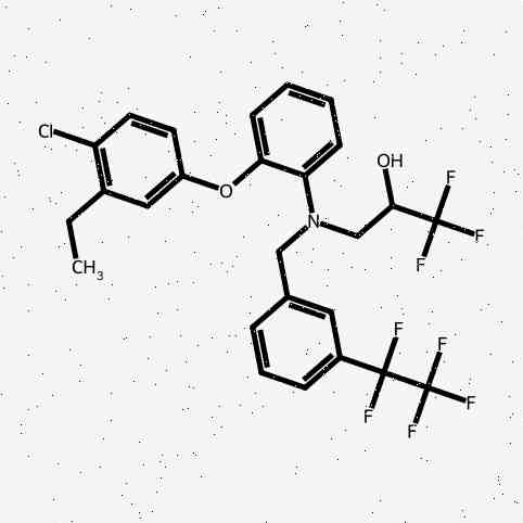 CCc1cc(Oc2ccccc2N(Cc2cccc(C(F)(F)C(F)(F)F)c2)CC(O)C(F)(F)F)ccc1Cl